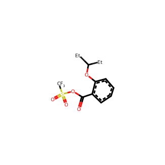 CCC(CC)Oc1ccccc1C(=O)OS(=O)(=O)C(F)(F)F